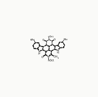 C=c1c2c3[nH]c4ccc(C(C)(C)C)cc4c3c3c4c(c5c6cc(C(C)(C)C)ccc6[nH]c5c(c(=O)n1CCCCCCCC)c42)C(=O)N(CCCCCCCC)C3=O